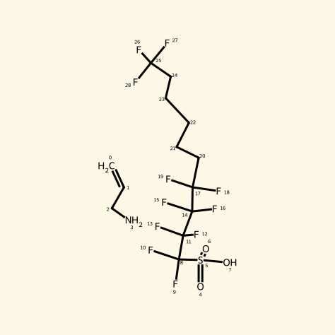 C=CCN.O=S(=O)(O)C(F)(F)C(F)(F)C(F)(F)C(F)(F)CCCCCC(F)(F)F